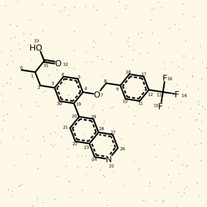 CC(Cc1ccc(OCc2ccc(C(F)(F)F)cc2)c(-c2ccc3cnccc3c2)c1)C(=O)O